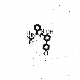 CCC(N)CNc1nc(-c2cc(-c3ccc(Cl)cc3)ccc2O)nc2ccccc12